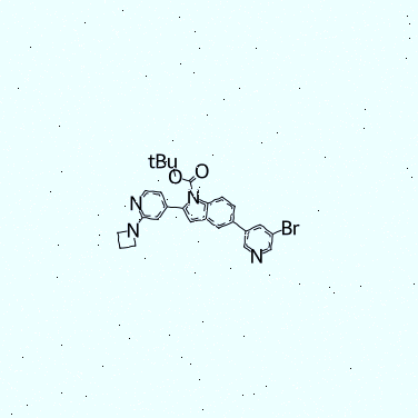 CC(C)(C)OC(=O)n1c(-c2ccnc(N3CCC3)c2)cc2cc(-c3cncc(Br)c3)ccc21